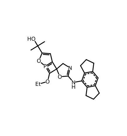 CCOC1=P2=C(C=C(C(C)(C)O)O2)C12CN=C(Nc1c3c(cc4c1CCC4)CCC3)O2